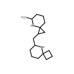 CC1CCCC2(CC2CC2CCCC3(CCC3)N2)N1